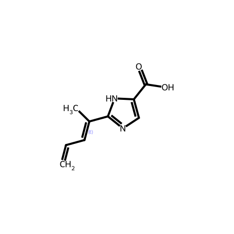 C=C/C=C(\C)c1ncc(C(=O)O)[nH]1